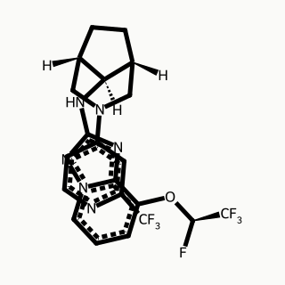 F[C@@H](Oc1cccn2nc(N[C@@H]3[C@@H]4CC[C@H]3CN(c3ccnc(C(F)(F)F)c3)C4)nc12)C(F)(F)F